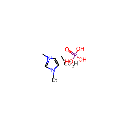 CC(=O)O.CCn1cc[n+](C)c1.O=P(O)(O)O